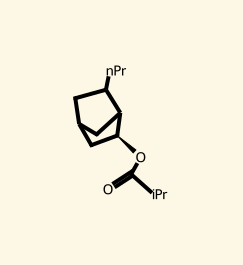 CCCC1CC2CC1[C@@H](OC(=O)C(C)C)C2